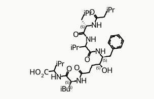 CC[C@H](C)[C@H](NC(=O)CC[C@H](O)[C@H](Cc1ccccc1)NC(=O)C(NC(=O)[C@H](CC(C)C)NC(=O)CC(C)C)C(C)C)C(=O)NC(C(=O)O)C(C)C